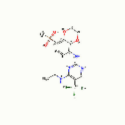 CCNc1nc(Nc2ccc(S(C)(=O)=O)c3c2OCCO3)ncc1C(F)(F)F